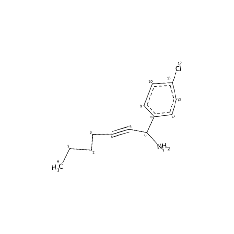 CCCCC#CC(N)c1ccc(Cl)cc1